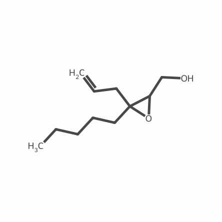 C=CCC1(CCCCC)OC1CO